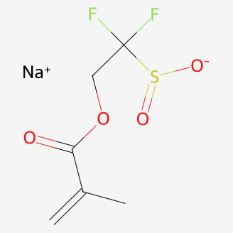 C=C(C)C(=O)OCC(F)(F)S(=O)[O-].[Na+]